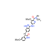 COc1ccc2c(c1)[C@]1(C[C@H]1c1ccc3c(Nc4cnc(C(=O)N(C)C(C)C)c(OC)c4)n[nH]c3c1)C(=O)N2